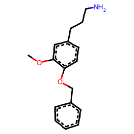 COc1cc(CCCN)ccc1OCc1ccccc1